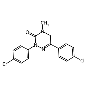 CN1CC(c2ccc(Cl)cc2)=NN(c2ccc(Cl)cc2)C1=O